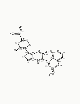 C=CC(=O)N1CCN(c2snc3nc(-c4cc(OC)cc5ccccc45)c(Cl)cc23)[C@@H](C)C1